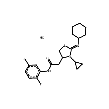 Cl.O=C(CC1CSC(=NC2CCCCC2)N1C1CC1)Nc1cc(Cl)ccc1F